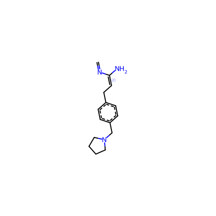 C=N/C(N)=C\Cc1ccc(CN2CCCC2)cc1